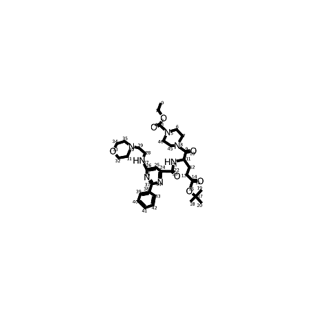 CCOC(=O)N1CCN(C(=O)C(CCC(=O)OC(C)(C)C)NC(=O)c2cc(NCCN3CCOCC3)nc(-c3ccccc3)n2)CC1